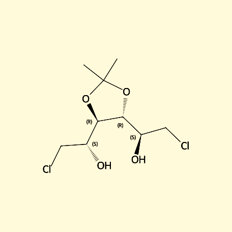 CC1(C)O[C@H]([C@H](O)CCl)[C@@H]([C@H](O)CCl)O1